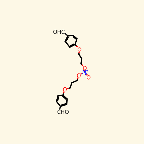 O=Cc1ccc(OCCCO[N+](=O)OCCCOc2ccc(C=O)cc2)cc1